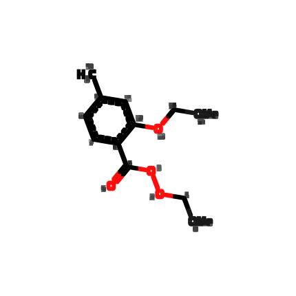 COCOOC(=O)c1ccc(C)cc1OCOC